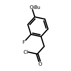 CC(C)COc1ccc(CC(=O)Cl)c(F)c1